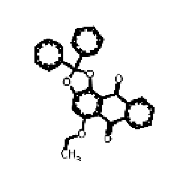 CCOc1cc2c(c3c1C(=O)c1ccccc1C3=O)OC(c1ccccc1)(c1ccccc1)O2